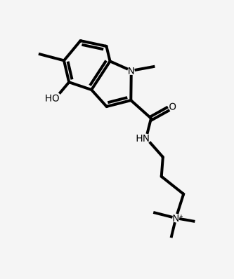 Cc1ccc2c(cc(C(=O)NCCC[N+](C)(C)C)n2C)c1O